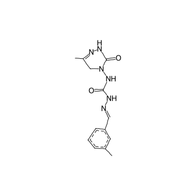 CC1=NNC(=O)N(NC(=O)N/N=C/c2cccc(C)c2)C1